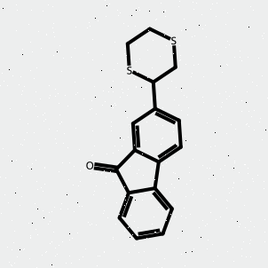 O=C1c2ccccc2-c2ccc(C3CSCCS3)cc21